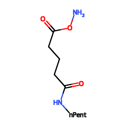 CCCCCNC(=O)CCCC(=O)ON